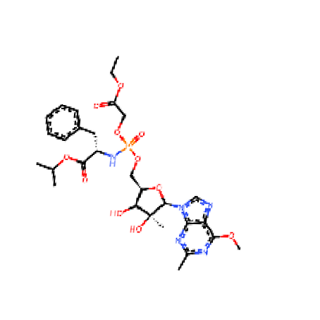 CCOC(=O)COP(=O)(N[C@@H](Cc1ccccc1)C(=O)OC(C)C)OC[C@H]1O[C@@H](n2cnc3c(OC)nc(C)nc32)[C@@](C)(O)C1O